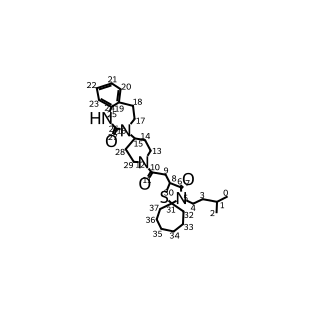 CC(C)CCN1C(=O)C(CC(=O)N2CCC(N3CCc4ccccc4NC3=O)CC2)SC12CCCCCC2